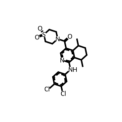 CC1CCC(C)c2c(Nc3ccc(Cl)c(Cl)c3)ncc(C(=O)N3CCS(=O)(=O)CC3)c21